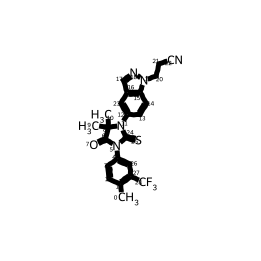 Cc1ccc(N2C(=O)C(C)(C)N(c3ccc4c(cnn4CCC#N)c3)C2=S)cc1C(F)(F)F